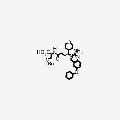 CC(C)(C)OCC(NC(=O)CC[C@@H](C1CCOCC1)N1Cc2cc(Oc3ccccc3)ccc2N=C1N)C(=O)O